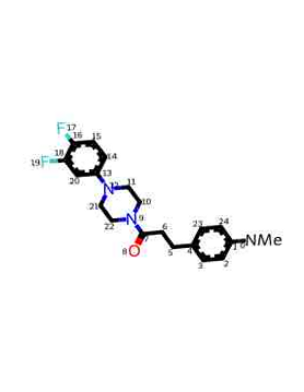 CNc1ccc(CCC(=O)N2CCN(c3ccc(F)c(F)c3)CC2)cc1